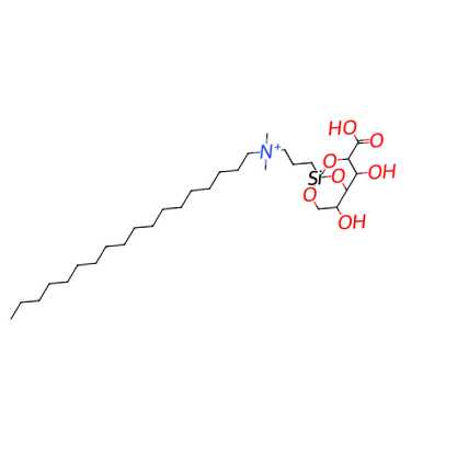 CCCCCCCCCCCCCCCCCC[N+](C)(C)CCC[Si]12OCC(O)C(O1)C(O)C(C(=O)O)O2